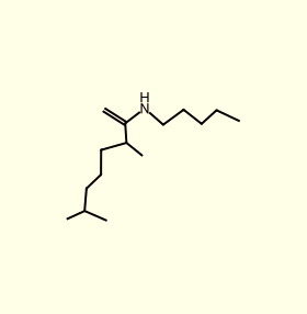 C=C(NCCCCC)C(C)CCCC(C)C